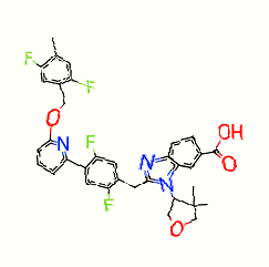 Cc1cc(F)c(COc2cccc(-c3cc(F)c(Cc4nc5ccc(C(=O)O)cc5n4C4COCC4(C)C)cc3F)n2)cc1F